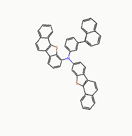 c1cc(-c2cccc3ccccc23)cc(N(c2ccc3c(c2)sc2c4ccccc4ccc32)c2cccc3c2sc2c4ccccc4ccc32)c1